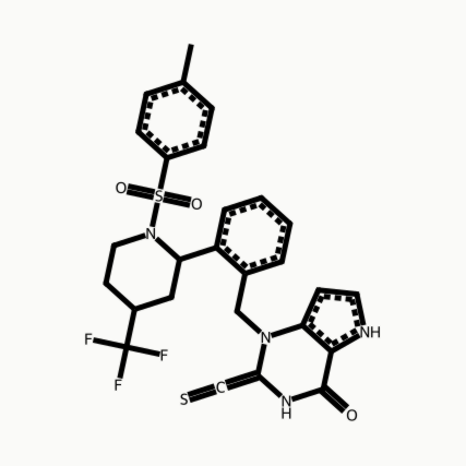 Cc1ccc(S(=O)(=O)N2CCC(C(F)(F)F)CC2c2ccccc2CN2C(=C=S)NC(=O)c3[nH]ccc32)cc1